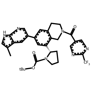 Cc1c[nH]c2ncc(-c3cc4c(c([C@@H]5CCCN5C(=O)OC(C)(C)C)c3)CN(C(=O)c3cnc(C(F)(F)F)nc3)CC4)cc12